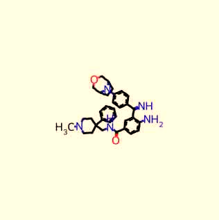 CN1CCC(CNC(=O)c2ccc(N)c(C(=N)c3ccc(N4C5CCC4COC5)cc3)c2)(c2ccccc2)CC1